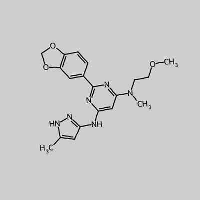 COCCN(C)c1cc(Nc2cc(C)[nH]n2)nc(-c2ccc3c(c2)OCO3)n1